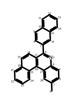 Cc1ccc2nc(-c3ccc4ccccc4c3)c3ccc4ccccc4c3c2c1